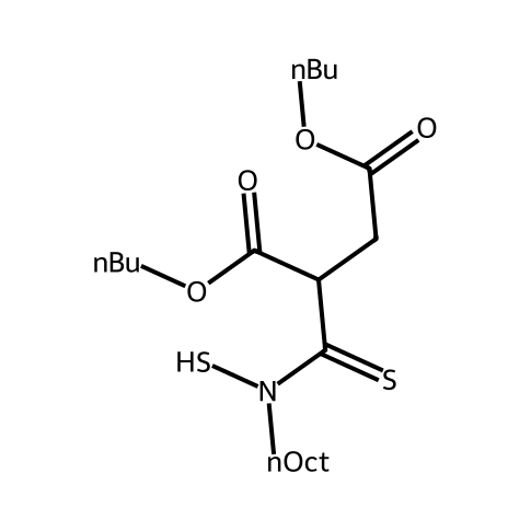 CCCCCCCCN(S)C(=S)C(CC(=O)OCCCC)C(=O)OCCCC